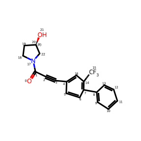 O=C(C#Cc1ccc(-c2ccccc2)c(C(F)(F)F)c1)N1CC[C@@H](O)C1